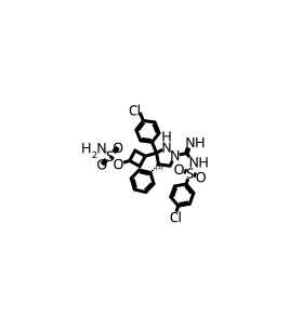 N=C(NS(=O)(=O)c1ccc(Cl)cc1)N1C[C@H](c2ccccc2)C(c2ccc(Cl)cc2)(C2CC(OS(N)(=O)=O)C2)N1